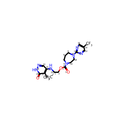 C[C@@H](COC(=O)N1CCCN(c2ncc(C(F)(F)F)cn2)CC1)Nc1cn[nH]c(=O)c1C(F)(F)F